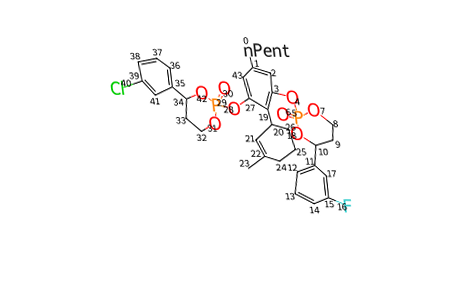 CCCCCc1cc(OP2(=O)OCCC(c3cccc(F)c3)O2)c(C2C=C(C)CCC2)c(OP2(=O)OCCC(c3cccc(Cl)c3)O2)c1